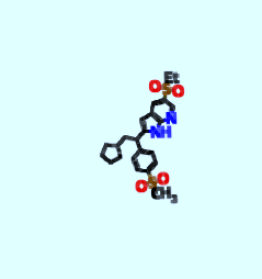 CCS(=O)(=O)c1cnc2[nH]c(C(CC3CCCC3)c3ccc(S(C)(=O)=O)cc3)cc2c1